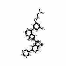 CN(C)CCOc1cc(F)cc(-c2nccc3[nH]c(-c4n[nH]c5cnc(-c6cncnc6)cc45)cc23)c1